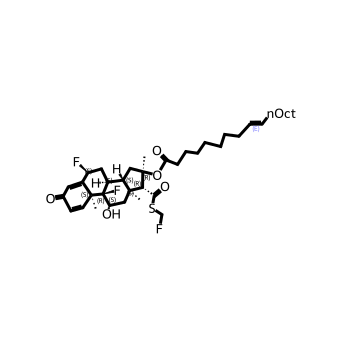 CCCCCCCC/C=C/CCCCCCCC(=O)O[C@]1(C)C[C@H]2[C@@H]3C[C@H](F)C4=CC(=O)C=C[C@]4(C)[C@@]3(F)[C@@H](O)C[C@]2(C)[C@H]1C(=O)SCF